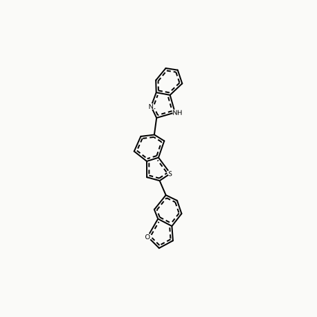 c1ccc2[nH]c(-c3ccc4cc(-c5ccc6ccoc6c5)sc4c3)nc2c1